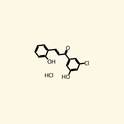 Cl.O=C(C=Cc1ccccc1O)c1cc(O)cc(Cl)c1